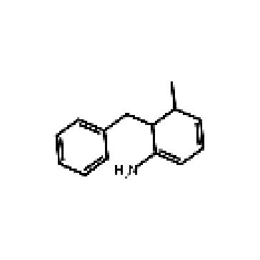 CC1C=CC=C(N)C1Cc1ccccc1